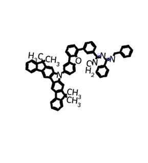 C=N/C(=N\C(=N/Cc1ccccc1)c1ccccc1)c1cccc(-c2cccc3c2oc2ccc(-n4c5cc6c(cc5c5cc7c(cc54)C(C)(C)c4ccccc4-7)-c4ccccc4C6(C)C)cc23)c1